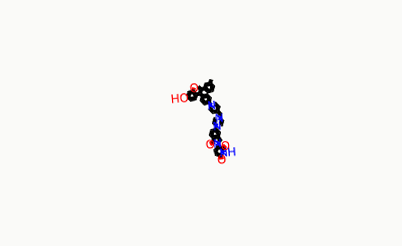 Cc1cccc(C2COc3cc(O)ccc3C2c2ccc(N3CCC(CN4CCN(c5ccc6c(c5)CN(C5CCC(=O)NC5=O)C6=O)CC4)CC3)cc2)c1